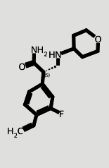 C=Cc1ccc([C@@H](CNC2CCOCC2)C(N)=O)cc1F